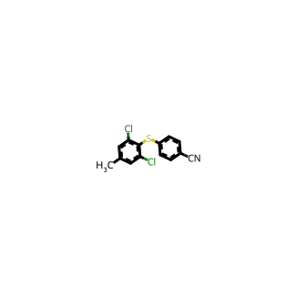 Cc1cc(Cl)c(Sc2ccc(C#N)cc2)c(Cl)c1